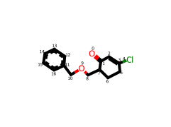 O=C1C=C(Cl)CCC1COCc1ccccc1